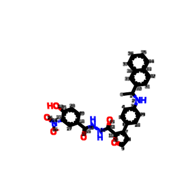 CC(Nc1ccc(-c2ccoc2C(=O)NNC(=O)c2ccc(O)c([N+](=O)[O-])c2)cc1)c1ccc2ccccc2c1